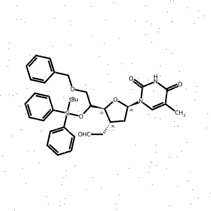 Cc1cn([C@H]2C[C@H](CC=O)[C@@H](C(COCc3ccccc3)O[Si](c3ccccc3)(c3ccccc3)C(C)(C)C)O2)c(=O)[nH]c1=O